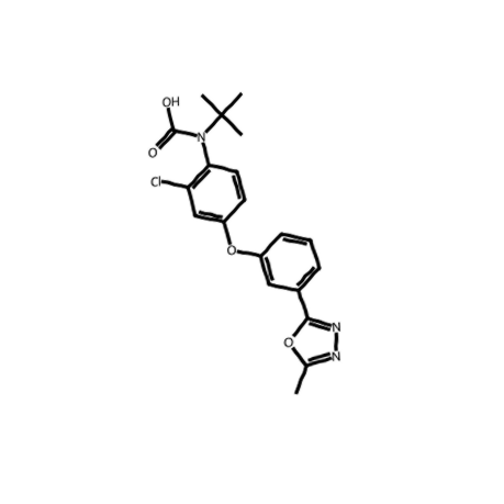 Cc1nnc(-c2cccc(Oc3ccc(N(C(=O)O)C(C)(C)C)c(Cl)c3)c2)o1